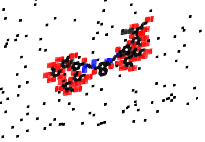 CO[C@H](OC1C(O)[C@H](O)C(CO)O[C@@H]1O[C@@H]1CC(C(=O)NCCNC(=O)c2ccc(C(=O)NCCNC(=O)C3CC(C)C(O[C@H]4OC(CO)[C@@H](O)C(O)C4O[C@H]4OC(CO)[C@@H](O)C(O)C4O)[C@H](O[C@H]4OC(CO)[C@@H](O)C(O)C4O[C@H]4OC(CO)[C@@H](O)C(O)C4O)C3)c3ccccc23)CC(C)C1O[C@H]1OC(CO)[C@@H](O)C(O)C1O[C@H]1OC(CO)[C@@H](O)C(O)C1O)C(O)C(O)[C@H](O)CCO